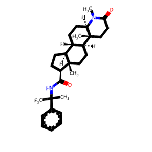 CN1C(=O)CC[C@]2(C)[C@H]3CC[C@]4(C)[C@@H](C(=O)NC(C)(c5ccccc5)C(F)(F)F)CC[C@H]4[C@@H]3CC[C@@H]12